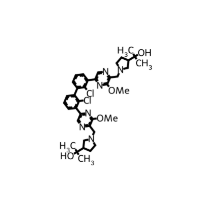 COc1nc(-c2cccc(-c3cccc(-c4cnc(CN5CCC(C(C)(C)O)C5)c(OC)n4)c3Cl)c2Cl)cnc1CN1CCC(C(C)(C)O)C1